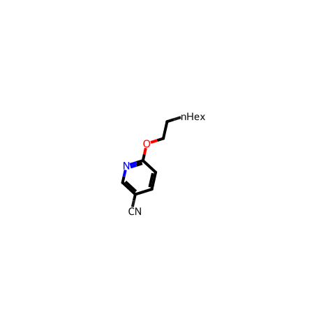 CCCCCCCCOc1ccc(C#N)cn1